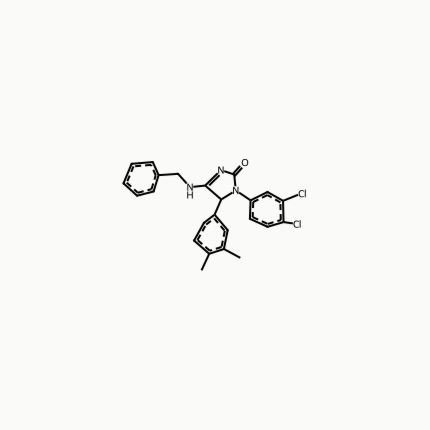 Cc1ccc(C2C(NCc3ccccc3)=NC(=O)N2c2ccc(Cl)c(Cl)c2)cc1C